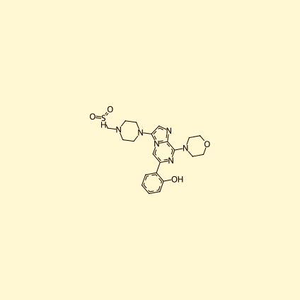 O=[SH](=O)CN1CCN(c2cnc3c(N4CCOCC4)nc(-c4ccccc4O)cn23)CC1